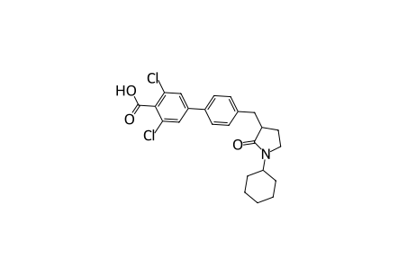 O=C(O)c1c(Cl)cc(-c2ccc(CC3CCN(C4CCCCC4)C3=O)cc2)cc1Cl